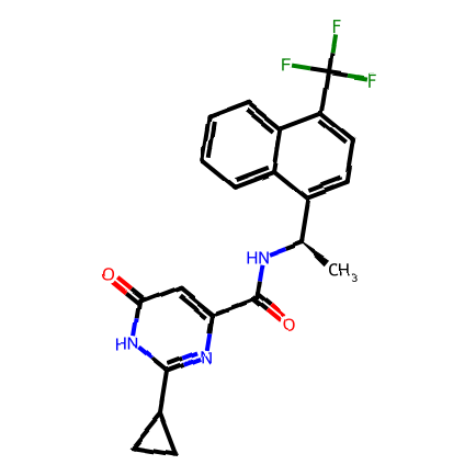 C[C@@H](NC(=O)c1cc(=O)[nH]c(C2CC2)n1)c1ccc(C(F)(F)F)c2ccccc12